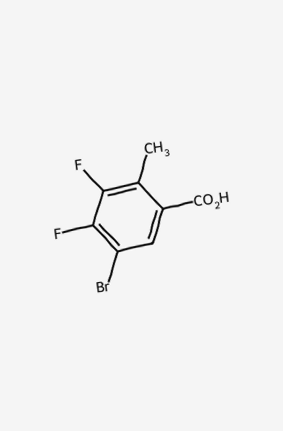 Cc1c(C(=O)O)cc(Br)c(F)c1F